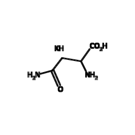 NC(=O)CC(N)C(=O)O.[KH]